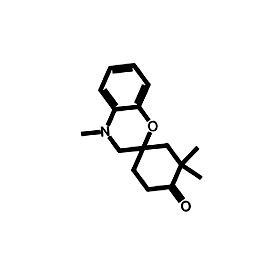 CN1CC2(CCC(=O)C(C)(C)C2)Oc2ccccc21